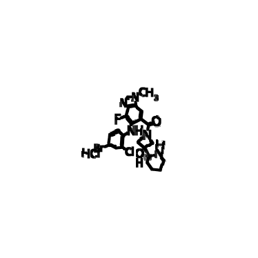 Cl.Cn1cnc2c(F)c(Nc3ccc(Br)cc3Cl)c(C(=O)N3CC(O)([C@@H]4CCCCN4)C3)cc21